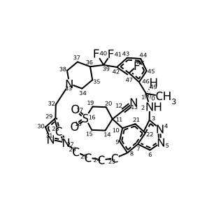 C[C@H]1Nc2nncc3c(cc(C4(C#N)CCS(=O)(=O)CC4)cc23)CCCCn2cc(cn2)CN2CCC(CC2)C(F)(F)c2cccc1c2F